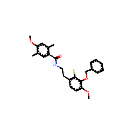 COc1cc(C)c(C(=O)NCCc2ccc(OC)c(OCc3ccccc3)c2F)cc1C